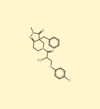 CN1N=C2CCN(C(=O)C(N)COc3ccc(Cl)cc3)CC2(Cc2ccccc2)C1=O